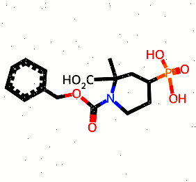 CC1(C(=O)O)CC(P(=O)(O)O)CCN1C(=O)OCc1ccccc1